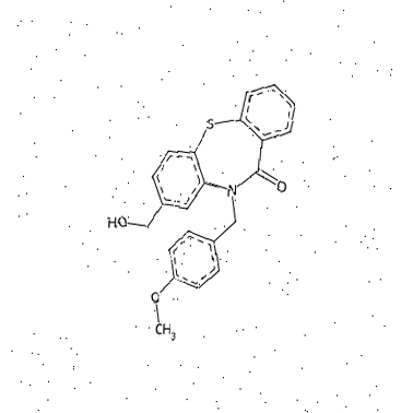 COc1ccc(CN2C(=O)c3ccccc3Sc3ccc(CO)cc32)cc1